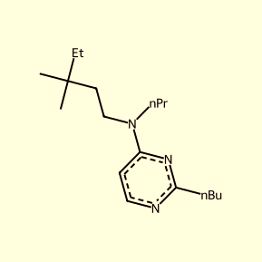 CCCCc1nccc(N(CCC)CCC(C)(C)CC)n1